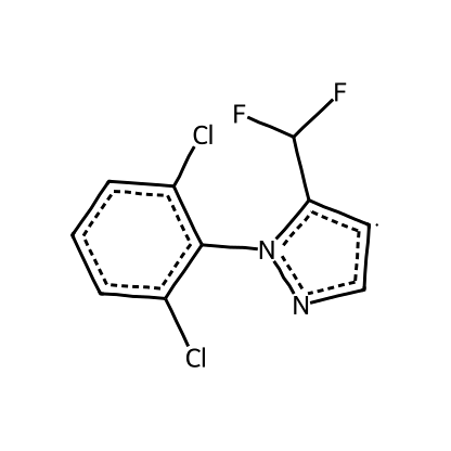 FC(F)c1[c]cnn1-c1c(Cl)cccc1Cl